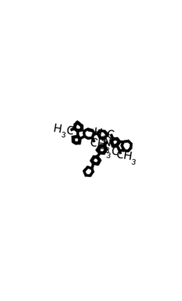 Cc1ccccc1-c1ccccc1C1CC=CC(C2C=C(N(c3ccc(-c4ccc(C5CCCCC5)cc4)cc3)c3cc4c(cc3C)C3CCCCC(C3)C4(C)C)C=CC2)C(C)C1